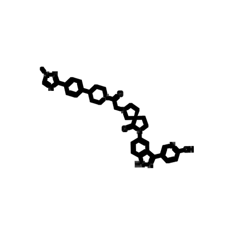 Cn1cnc(-c2ccc(C3CCN(C(=O)CN4CC[C@]5(CCN(c6ccc7[nH]nc(-c8ccc(O)nc8)c7c6)C5=O)C4)CC3)cc2)n1